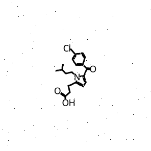 CC(C)CCn1c(CCC(=O)O)ccc1C(=O)c1ccc(Cl)cc1